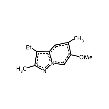 CCc1c(C)nn2cc(OC)c(C)cc12